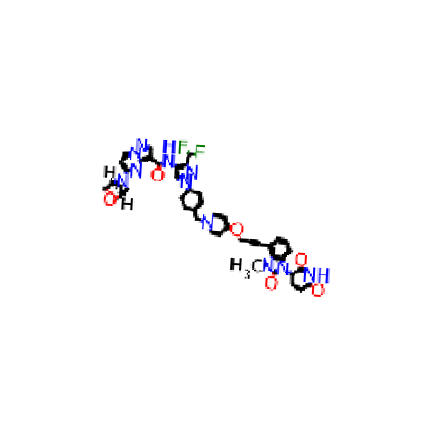 Cn1c(=O)n(C2CCC(=O)NC2=O)c2cccc(C#CCOC3CCN(CC4CCC(n5cc(NC(=O)c6cnn7ccc(N8C[C@@H]9C[C@H]8CO9)nc67)c(C(F)F)n5)CC4)CC3)c21